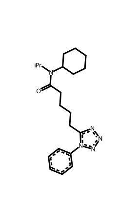 CC(C)N(C(=O)CCCCc1nnnn1-c1ccccc1)C1CCCCC1